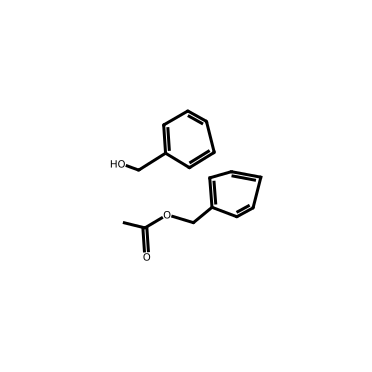 CC(=O)OCc1ccccc1.OCc1ccccc1